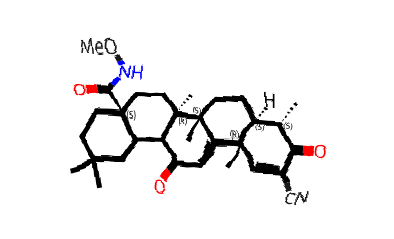 CONC(=O)[C@]12CCC(C)(C)CC1C1C(=O)C=C3[C@@]4(C)C=C(C#N)C(=O)[C@@H](C)[C@@H]4CC[C@@]3(C)[C@]1(C)CC2